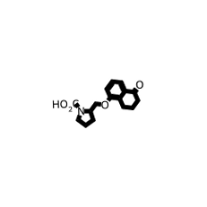 O=C1CCCc2c(OCC3CCCN3C(=O)O)cccc21